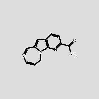 NC(=O)c1ccc2cc3n(c2n1)CC=CN=C3